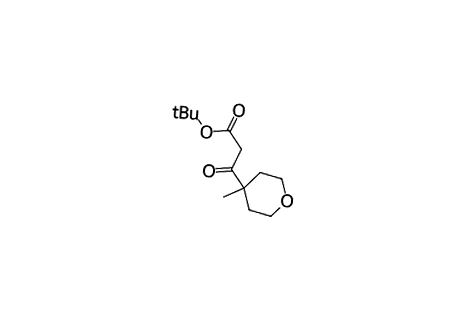 CC(C)(C)OC(=O)CC(=O)C1(C)CCOCC1